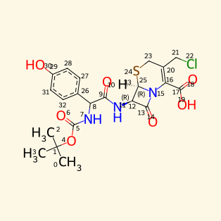 CC(C)(C)OC(=O)NC(C(=O)N[C@@H]1C(=O)N2C(C(=O)O)=C(CCl)CS[C@H]12)c1ccc(O)cc1